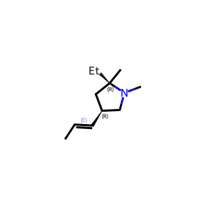 C/C=C/[C@@H]1CN(C)[C@](C)(CC)C1